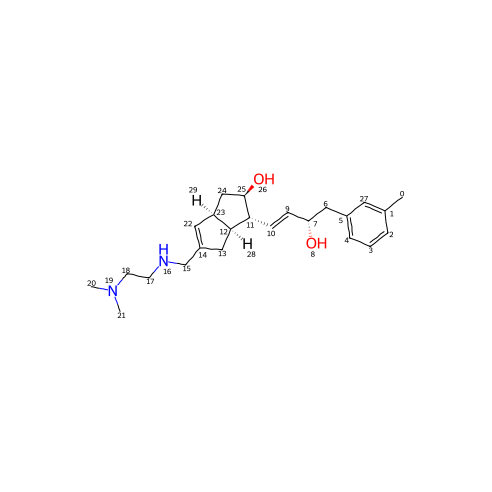 Cc1cccc(C[C@H](O)/C=C/[C@@H]2[C@H]3CC(CNCCN(C)C)=C[C@H]3C[C@H]2O)c1